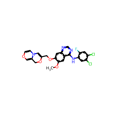 COc1cc2c(Nc3cc(Cl)c(Cl)cc3F)ncnc2cc1OCC1=CN2C=COC=C2CO1